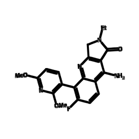 CCN1Cc2nc3c(-c4ccc(OC)nc4OC)c(F)ccc3c(N)c2C1=O